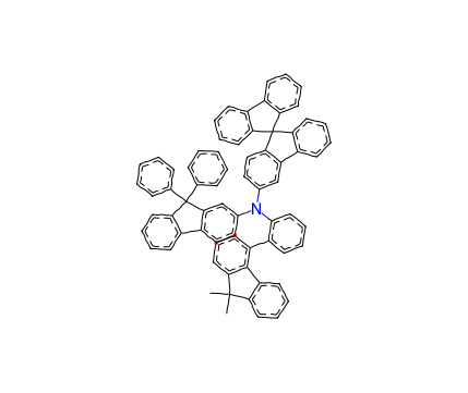 CC1(C)c2ccccc2-c2c(-c3ccccc3N(c3ccc4c(c3)-c3ccccc3C43c4ccccc4-c4ccccc43)c3ccc4c(c3)C(c3ccccc3)(c3ccccc3)c3ccccc3-4)cccc21